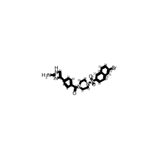 Nc1nc(-c2ccc(C(=O)N3CCN(S(=O)(=O)c4ccc5cc(Br)ccc5c4)CC3)cc2)c[nH]1